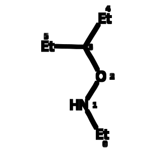 CCNOC(CC)CC